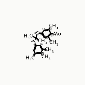 Cc1cc(SC(C)(C)Sc2cc(C)[c]([Mo])c(C)c2)cc(C)c1C